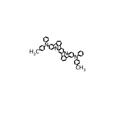 Cc1ccc(N(c2ccccc2)c2ccc3c(c2)c2cccc4c5cc6c(cc5n3c24)c2cccc3c4cc(N(c5ccccc5)c5ccc(C)cc5)ccc4n6c32)cc1